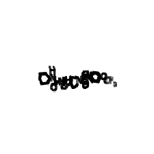 O=C(NOC1CCN(S(=O)(=O)c2ccc(OC(F)(F)F)cc2)CC1)NC1CCCCC1